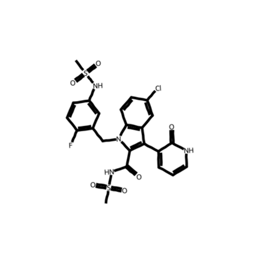 CS(=O)(=O)NC(=O)c1c(-c2ccc[nH]c2=O)c2cc(Cl)ccc2n1Cc1cc(NS(C)(=O)=O)ccc1F